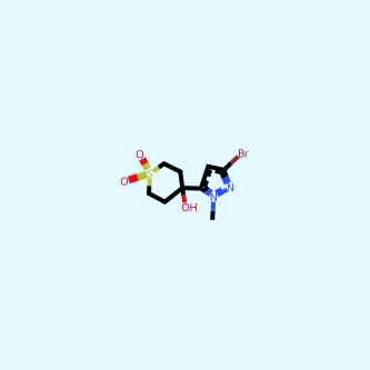 Cn1nc(Br)cc1C1(O)CCS(=O)(=O)CC1